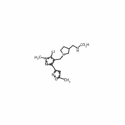 Cc1cc(-c2nn(C)c(Cl)c2CN2CCC(CNC(=O)O)C2)no1